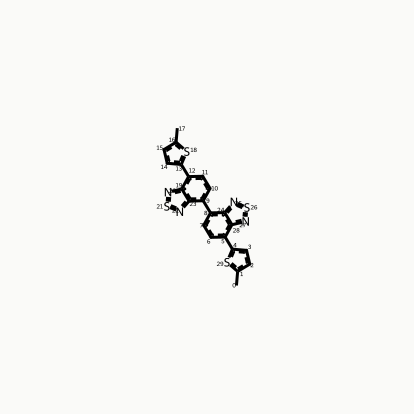 Cc1ccc(-c2ccc(-c3ccc(-c4ccc(C)s4)c4nsnc34)c3nsnc23)s1